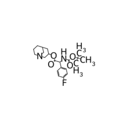 CC(C)(C)OC(=O)NC(C(=O)O[C@@H]1CC2CCCN(C2)C1)c1ccc(F)cc1